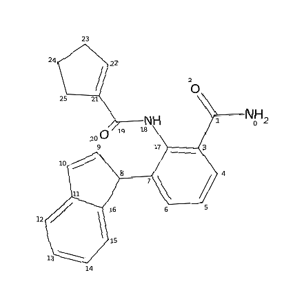 NC(=O)c1cccc(C2C=Cc3ccccc32)c1NC(=O)C1=CCCC1